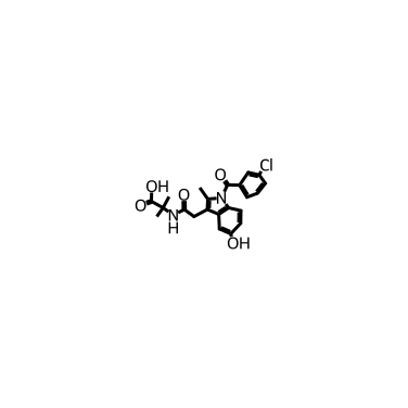 Cc1c(CC(=O)NC(C)(C)C(=O)O)c2cc(O)ccc2n1C(=O)c1cccc(Cl)c1